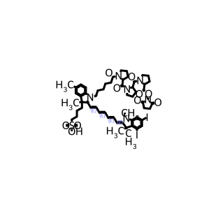 Cc1ccc2c(c1)C(C)(CCCCS(=O)(=O)O)C(/C=C/C=C/C=C/C=C1\N(C)c3cc(I)cc(I)c3C1(C)C)=[N+]2CCCCCC(=O)N1CCCC1C(=O)N1CCCC1C(=O)N1CCCC1C(=O)ON1C(=O)CCC1=O